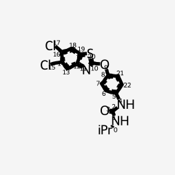 CC(C)NC(=O)Nc1ccc(Oc2nc3cc(Cl)c(Cl)cc3s2)cc1